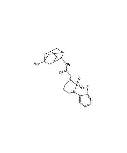 O=C(CN1CCCN(c2ccccc2F)S1(=O)=O)NC1C2CC3CC1CC(O)(C3)C2